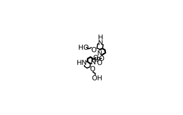 O=[PH](Oc1ccc2c(n1)C(OCCO)CNC2)Oc1ccc2c(n1)C(OCCO)CCN2